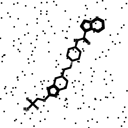 CC(F)(F)COc1nc2c(s1)CCN(CC[C@H]1CC[C@H](NC(=O)c3ccn4ncccc34)CC1)C2